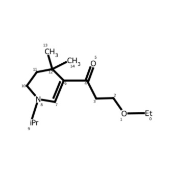 CCOCCC(=O)C1=CN(C(C)C)CCC1(C)C